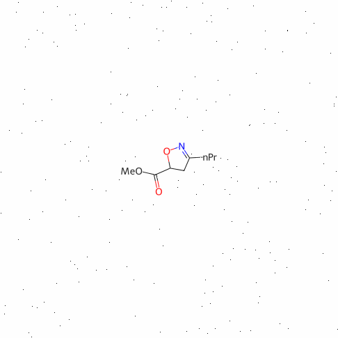 CCCC1=NOC(C(=O)OC)C1